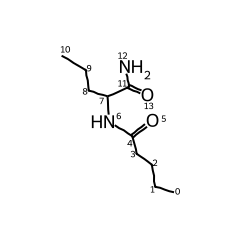 CCCCC(=O)NC(CCC)C(N)=O